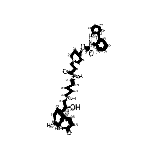 O=C(CCN1CCC(OC(=O)Nc2ccccc2-c2ccccc2)CC1)NCCCCCNC[C@@H](O)c1ccc(O)c2[nH]c(=O)ccc12